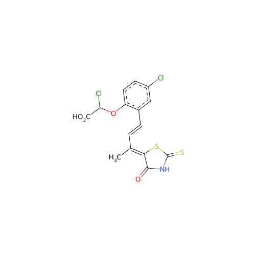 CC(C=Cc1cc(Cl)ccc1OC(Cl)C(=O)O)=C1SC(=S)NC1=O